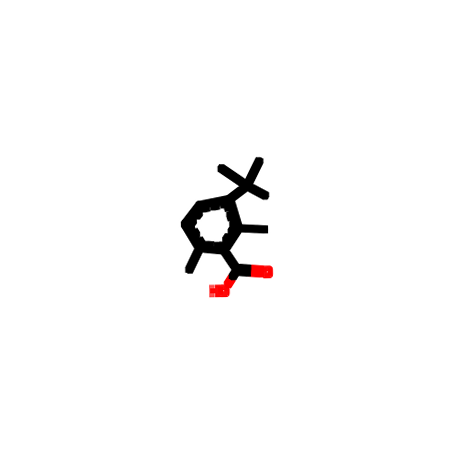 Cc1ccc(C(C)(C)C)c(C)c1C(=O)O